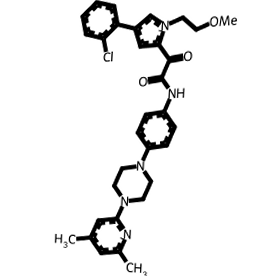 COCCn1cc(-c2ccccc2Cl)cc1C(=O)C(=O)Nc1ccc(N2CCN(c3cc(C)cc(C)n3)CC2)cc1